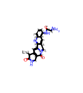 CCC1C(=O)NCc2c1cc1n(c2=O)Cc2cc3c(NC(=O)CN)cccc3nc2-1